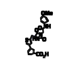 COc1ccc(NC(=O)CN2C(=O)N/C(=C\c3cc(-c4cccc(C(=O)O)c4)cs3)C2=O)cc1